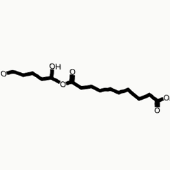 O=C(O)CCCCCCCCC(=O)OC(O)CCCCO